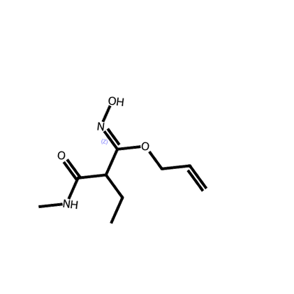 C=CCO/C(=N\O)C(CC)C(=O)NC